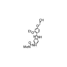 C#CCOc1ccc(-c2nc3cc(NC(=O)NC)ccc3[nH]2)c(OCC)c1